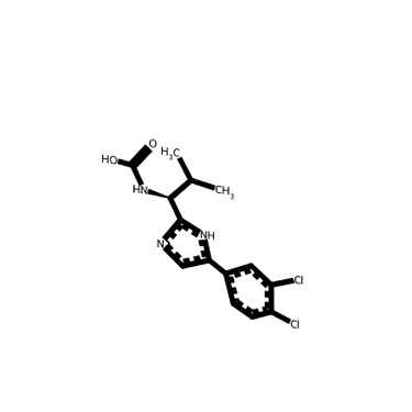 CC(C)[C@H](NC(=O)O)c1ncc(-c2ccc(Cl)c(Cl)c2)[nH]1